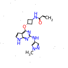 C=CC(=O)N[C@H]1C[C@H](Oc2nc(Nc3cnn(C)c3)nc3[nH]ccc23)C1